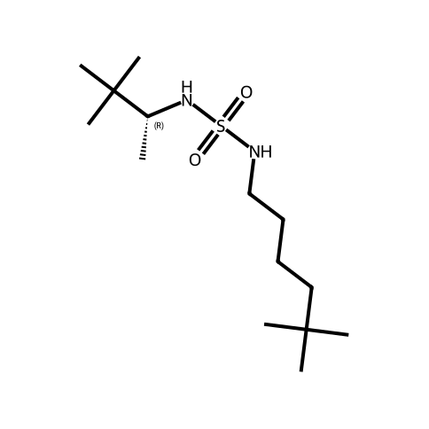 C[C@@H](NS(=O)(=O)NCCCCC(C)(C)C)C(C)(C)C